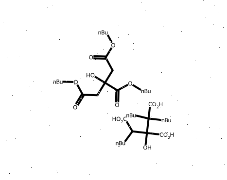 CCCCC(C(=O)O)C(O)(C(=O)O)C(CCCC)(CCCC)C(=O)O.CCCCOC(=O)CC(O)(CC(=O)OCCCC)C(=O)OCCCC